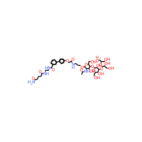 CC(=O)NC1C(OCCCNC(=O)COc2ccc(-c3cccc(C(=O)NCCNC(=O)CCCC(N)=O)c3)cc2)OC(CO)C(OC2OC(CO)C(O)C(OC(OC(CO)[C@@H](C)O)[C@@H](O)CO)C2O)C1O